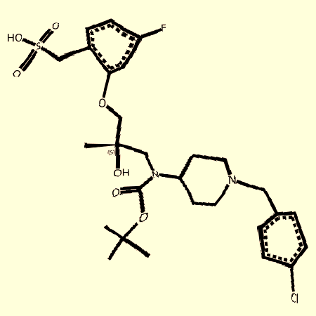 CC(C)(C)OC(=O)N(C[C@](C)(O)COc1cc(F)ccc1CS(=O)(=O)O)C1CCN(Cc2ccc(Cl)cc2)CC1